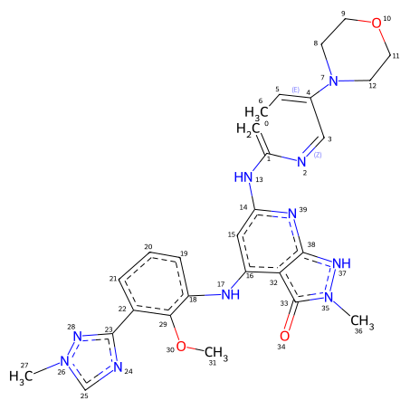 C=C(/N=C\C(=C/C)N1CCOCC1)Nc1cc(Nc2cccc(-c3ncn(C)n3)c2OC)c2c(=O)n(C)[nH]c2n1